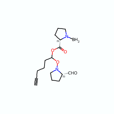 BN1CCC[C@H]1C(=O)OC(CCCC#C)ON1CCC[C@H]1C=O